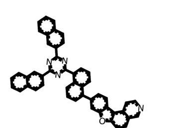 c1ccc2cc(-c3nc(-c4ccc5ccccc5c4)nc(-c4cccc5c(-c6ccc7c(c6)oc6ccc8cnccc8c67)cccc45)n3)ccc2c1